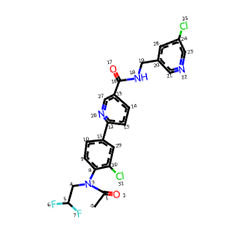 CC(=O)N(CC(F)F)c1ccc(-c2ccc(C(=O)NCc3cncc(Cl)c3)cn2)cc1Cl